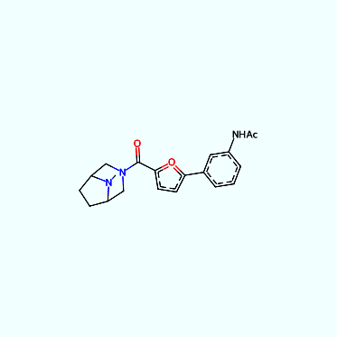 CC(=O)Nc1cccc(-c2ccc(C(=O)N3CC4CCC(C3)N4C)o2)c1